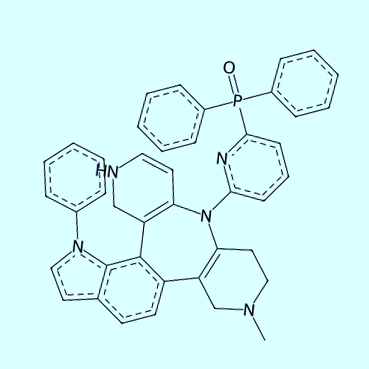 CN1CCC2=C(C1)c1ccc3ccn(-c4ccccc4)c3c1C1=C(C=CNC1)N2c1cccc(P(=O)(c2ccccc2)c2ccccc2)n1